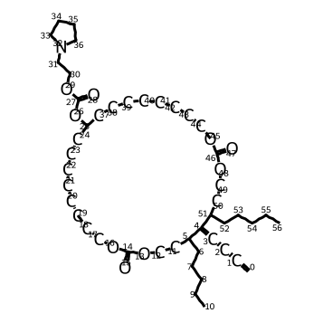 C=C=C=C=C1C(CCCCC)CCOC(=O)OCCCCCCCCC(OC(=O)OCCN2CCCC2)CCCCCCCCOC(=O)OCCC1CCCCC